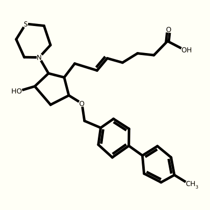 Cc1ccc(-c2ccc(COC3CC(O)C(N4CCSCC4)C3CC=CCCCC(=O)O)cc2)cc1